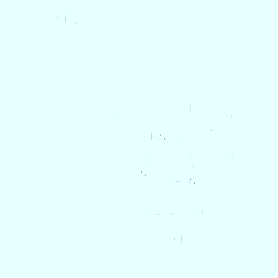 CCc1coc(CC=C2N=C(C(Cl)(Cl)Cl)N=C(C(Cl)(Cl)Cl)N2)c1